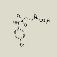 O=C(O)NCCS(=O)(=O)Nc1ccc(Br)cc1